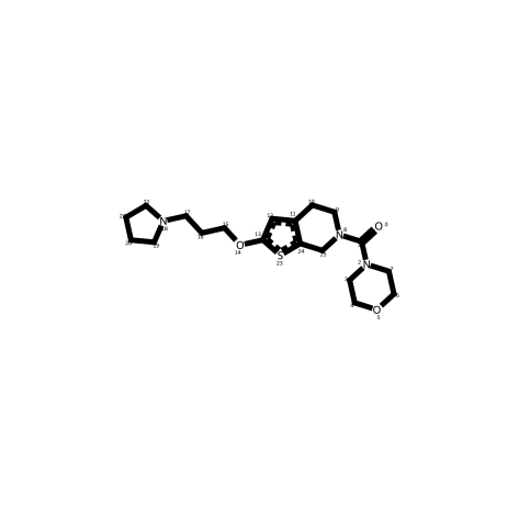 O=C(N1CCOCC1)N1CCc2cc(OCCCN3CCCC3)sc2C1